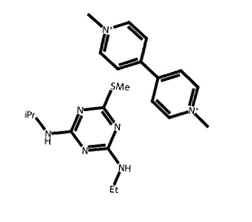 CCNc1nc(NC(C)C)nc(SC)n1.C[n+]1ccc(-c2cc[n+](C)cc2)cc1